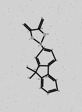 C=C1OB(c2ccc3c(c2)C(C)(C)c2ccccc2-3)OC1=C